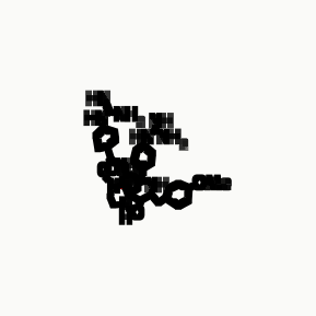 COc1ccc(CC(NC(=O)c2ccc(NC(=N)N)cc2)C(=O)C2(CCCNC(=O)c3ccc(NC(=N)N)cc3)NCCN(CC(=O)O)C2=O)cc1